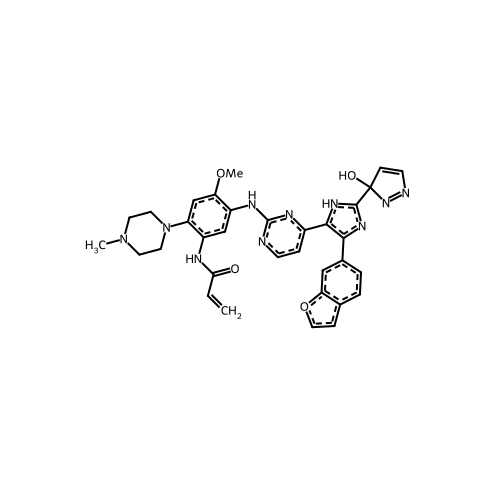 C=CC(=O)Nc1cc(Nc2nccc(-c3[nH]c(C4(O)C=CN=N4)nc3-c3ccc4ccoc4c3)n2)c(OC)cc1N1CCN(C)CC1